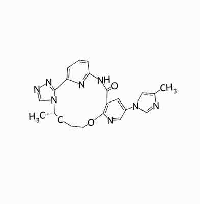 Cc1cn(-c2cnc3c(c2)C(=O)Nc2cccc(n2)-c2nncn2[C@@H](C)CCCO3)cn1